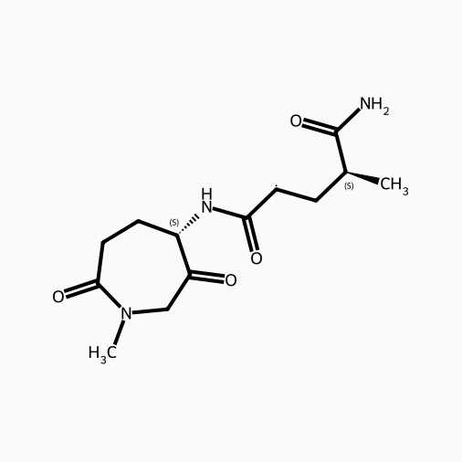 C[C@@H](C[CH]C(=O)N[C@H]1CCC(=O)N(C)CC1=O)C(N)=O